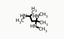 CNC(C)CC(C)(NC)NC